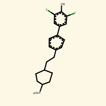 CCCCCCC1CCC(CCc2ccc(-c3cc(F)c(C#N)c(F)c3)cc2)CC1